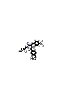 CCOC(=O)CNC(=O)/C(=C/c1ccc(N(C)C)cc1)NC(=O)c1ccc(CO)cc1